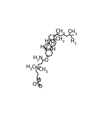 CC(C)CCC[C@@H](C)[C@H]1CC[C@H]2[C@@H]3CC=C4C[C@@H](OC(N)CC[N+](C)(C)CCCO[SH](=O)=O)CC[C@]4(C)[C@H]3CC[C@]12C